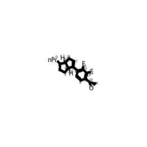 CCCC1CC[C@H]2C(c3ccc(C4CO4)c(F)c3F)=CC[C@@H]12